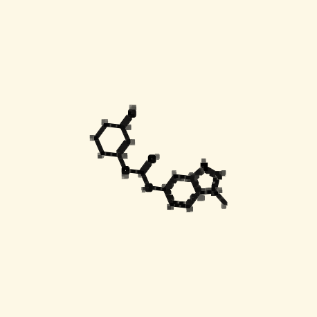 Cn1nnc2cc(OC(=O)OC3=CC(=O)CCC3)ccc21